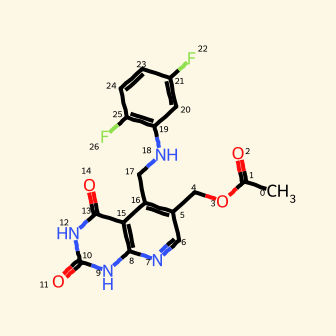 CC(=O)OCc1cnc2[nH]c(=O)[nH]c(=O)c2c1CNc1cc(F)ccc1F